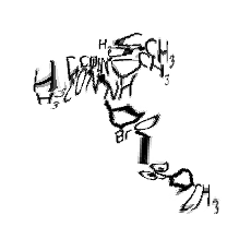 Cc1ccc(S(=O)OCCCOc2ccc(CNC(=NC(=O)OC(C)(C)C)NC(=O)OC(C)(C)C)cc2Br)cc1